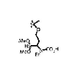 CCN(C(=O)O)C(CCO[Si](C)(C)C)[SiH](OC)OC